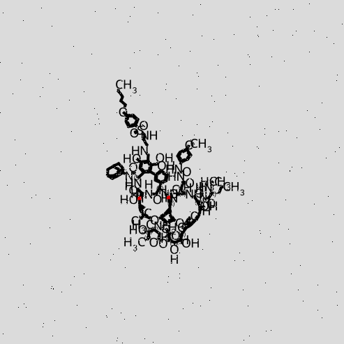 CCCCCOc1ccc(S(=O)(=O)NCCNCc2c(O)cc3c(c2CO)-c2cc(ccc2O)[C@H]2NC(=O)[C@@H]4NC(=O)[C@H](CC(=O)NC(=O)Nc5ccc(OC)cc5)NC(=O)[C@H](NC(=O)[C@@H](CC(C)C)NC)[C@H](O)c5ccc6c(c5)C(O)[C@H]5O[C@@H](Oc7c(cc4cc7O6)Oc4ccc(cc4Cl)[C@@H](O)[C@H](NC2=O)C(=O)N[C@@H]3C(=O)NC2C3CC4CC(C3)CC2C4)[C@H](O[C@H]2C[C@](C)(N)[C@H](O)[C@H](C)O2)[C@@H](O)[C@@H]5O)cc1